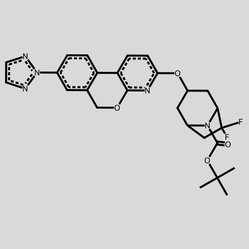 CC(C)(C)OC(=O)N1C2CC(Oc3ccc4c(n3)OCc3cc(-n5nccn5)ccc3-4)CC1C(F)(F)C2